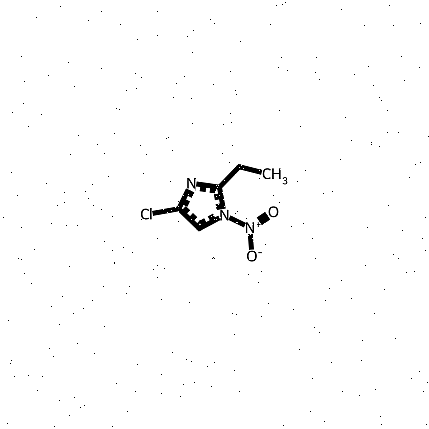 CCc1nc(Cl)cn1[N+](=O)[O-]